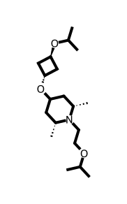 CC(C)OCCN1[C@H](C)CC(O[C@H]2C[C@H](OC(C)C)C2)C[C@@H]1C